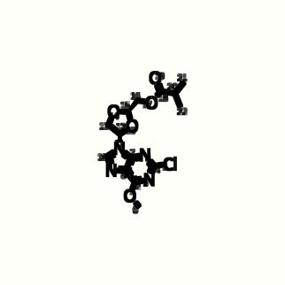 COc1nc(Cl)nc2c1ncn2[C@H]1CO[C@@H](COC(=O)C(C)C)O1